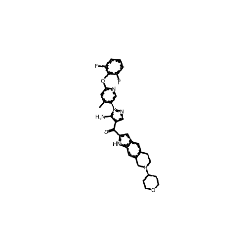 Cc1cc(Oc2c(F)cccc2F)ncc1-n1ncc(C(=O)c2cc3cc4c(cc3[nH]2)CN(C2CCOCC2)CC4)c1N